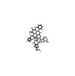 CC(C)C[C@H](O)[C@H](O)[C@H](CC1CCCCC1)NC(=O)[C@@H](CC(=O)N(CC(=O)N(C)CCc1ccccn1)Cc1cccs1)Cc1csc(N)n1